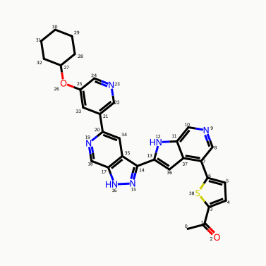 CC(=O)c1ccc(-c2cncc3[nH]c(-c4n[nH]c5cnc(-c6cncc(OC7CCCCC7)c6)cc45)cc23)s1